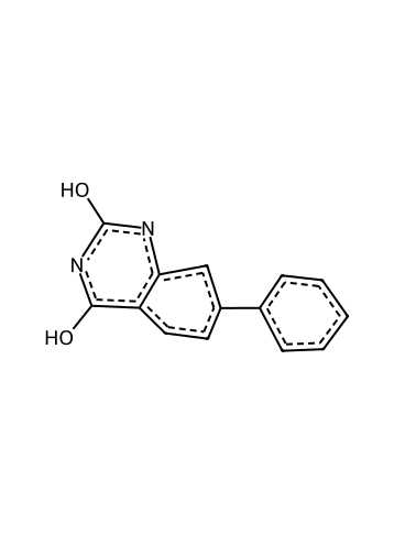 Oc1nc(O)c2ccc(-c3ccccc3)cc2n1